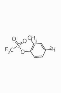 [2H]c1ccc(OS(=O)(=O)C(F)(F)F)c(C)c1